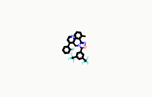 Cc1ccccc1C1=NOC(c2cc(C(F)(F)F)cc(C(F)(F)F)c2)N1Cc1cnccc1-c1ccccc1F